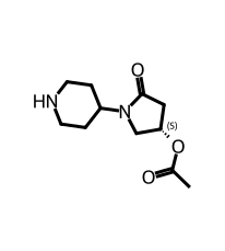 CC(=O)O[C@H]1CC(=O)N(C2CCNCC2)C1